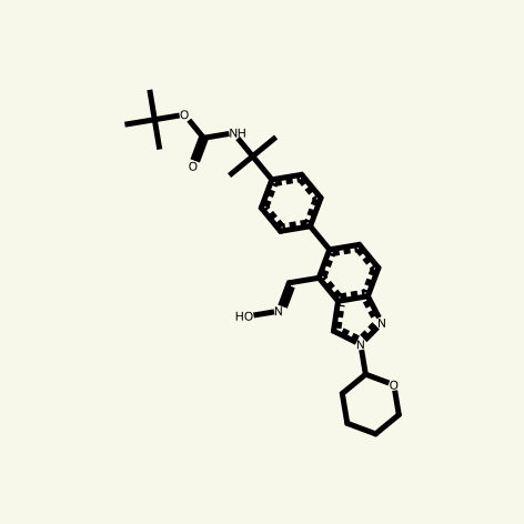 CC(C)(C)OC(=O)NC(C)(C)c1ccc(-c2ccc3nn(C4CCCCO4)cc3c2C=NO)cc1